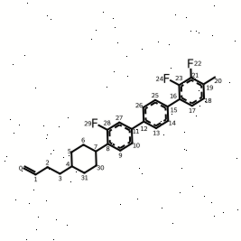 C=CCCC1CCC(c2ccc(-c3ccc(-c4ccc(C)c(F)c4F)cc3)cc2F)CC1